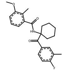 COc1cccc(C(=O)NC2(C(=O)c3ccc(F)c(C)c3)CCCCC2)c1C